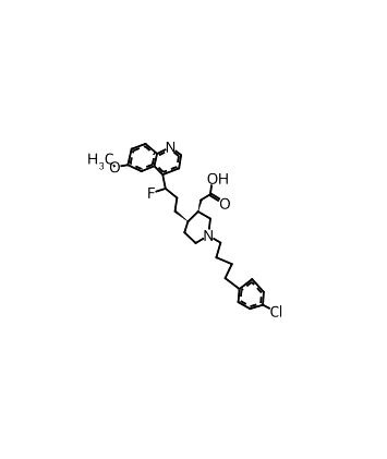 COc1ccc2nccc(C(F)CC[C@@H]3CCN(CCCCc4ccc(Cl)cc4)C[C@@H]3CC(=O)O)c2c1